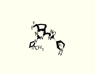 C[C@H]1CCN1c1nc(-c2noc([C@@H]3CCNC3)n2)c2c(n1)C(F)(F)CC2